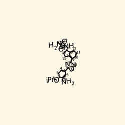 CC(C)OC1CC=C(c2nc(-c3cccc4c3CC[C@@H]4NS(N)(=O)=O)no2)C=C1N